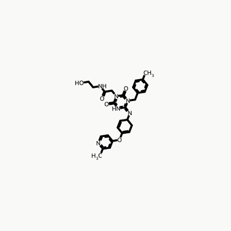 Cc1ccc(Cn2c(=O)n(CC(=O)NCCO)c(=O)[nH]/c2=N\C2C=CC(Oc3ccnc(C)c3)=CC2)cc1